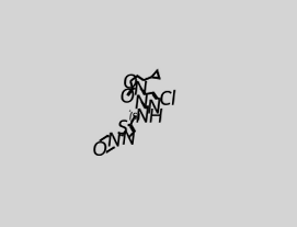 C[C@H](Nc1nc(Cl)cc(N2C(=O)OCC2C2CC2)n1)c1cnc(N2CCOCC2)s1